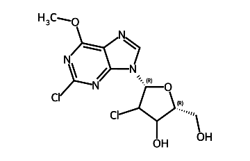 COc1nc(Cl)nc2c1ncn2[C@@H]1O[C@H](CO)C(O)C1Cl